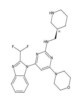 FC(F)c1nc2ccccc2n1-c1cc(N2CCOCC2)nc(NC[C@@H]2CCCNC2)n1